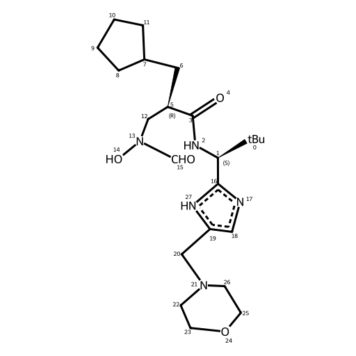 CC(C)(C)[C@H](NC(=O)[C@H](CC1CCCC1)CN(O)C=O)c1ncc(CN2CCOCC2)[nH]1